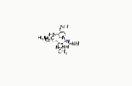 CNC1=C(C=N)CCN(/C(=N/C=N)c2[nH]c(C)nc2CCCOC)C1